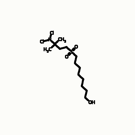 CC(C)(CCS(=O)(=O)CCCCCCCCO)N(Cl)Cl